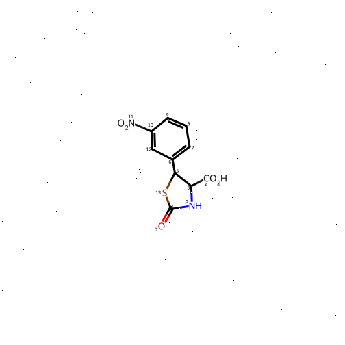 O=C1NC(C(=O)O)C(c2cccc([N+](=O)[O-])c2)S1